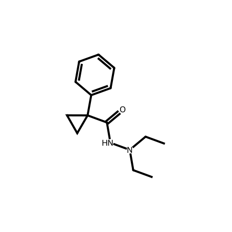 CCN(CC)NC(=O)C1(c2ccccc2)CC1